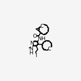 CNc1ncc(NC(=O)c2cccccccc3c2C3)c(-c2ccccccccc2)c1CCI